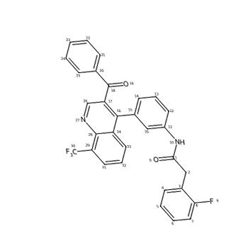 O=C(Cc1ccccc1F)Nc1cccc(-c2c(C(=O)c3ccccc3)cnc3c(C(F)(F)F)cccc23)c1